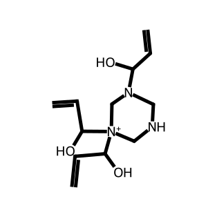 C=CC(O)N1CNC[N+](C(O)C=C)(C(O)C=C)C1